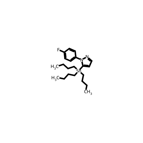 CCC[CH2][Sn]([CH2]CCC)([CH2]CCC)[c]1ccnn1-c1ccc(F)cc1